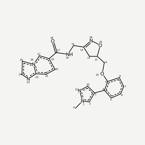 Cn1cc(-c2ccccc2OCC2CC(CNC(=O)c3ccc4nccn4c3)=NO2)cn1